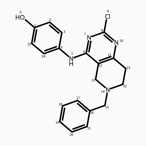 Oc1ccc(Nc2nc(Cl)nc3c2CN(Cc2ccccc2)CC3)cc1